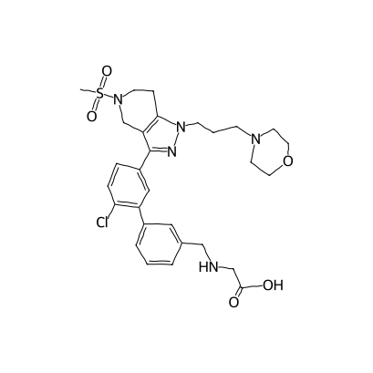 CS(=O)(=O)N1CCc2c(c(-c3ccc(Cl)c(-c4cccc(CNCC(=O)O)c4)c3)nn2CCCN2CCOCC2)C1